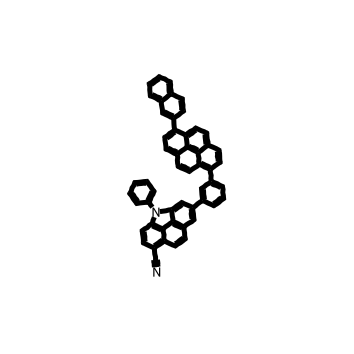 N#Cc1ccc2c3c1ccc1cc(-c4cccc(-c5ccc6ccc7c(-c8ccc9ccccc9c8)ccc8ccc5c6c87)c4)cc(c13)n2-c1ccccc1